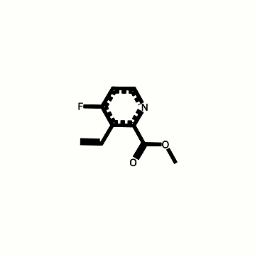 C=Cc1c(F)ccnc1C(=O)OC